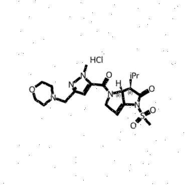 CC(C)[C@H]1C(=O)N(S(C)(=O)=O)C2=CCN(C(=O)c3cc(CN4CCOCC4)nn3C)[C@@H]21.Cl